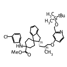 COC(=O)C1(Nc2cccc(Cl)c2)CCC2(CC1)c1ccccc1C[C@@H]2C[C@@H](C)COc1ccnc(CO[Si](C)(C)C(C)(C)C)c1